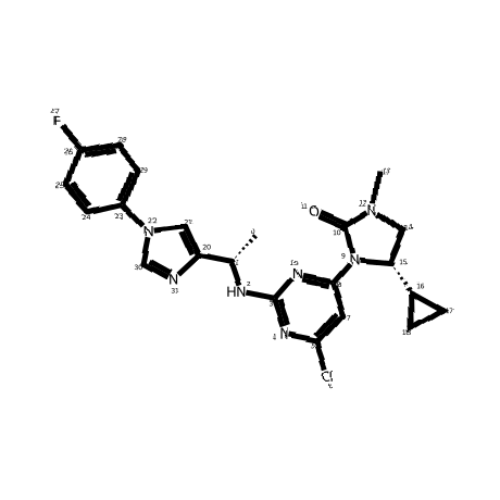 C[C@H](Nc1nc(Cl)cc(N2C(=O)N(C)C[C@@H]2C2CC2)n1)c1cn(-c2ccc(F)cc2)cn1